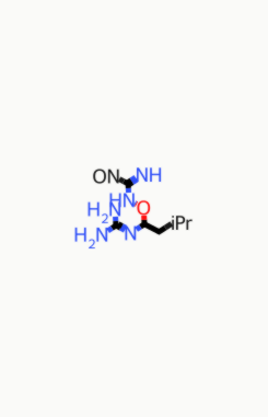 CC(C)CC(N=C(N)N)ONC(=N)N=O